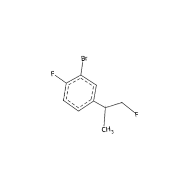 C[C](CF)c1ccc(F)c(Br)c1